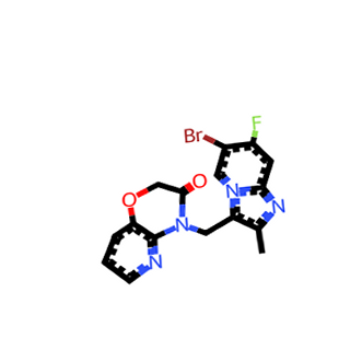 Cc1nc2cc(F)c(Br)cn2c1CN1C(=O)COc2cccnc21